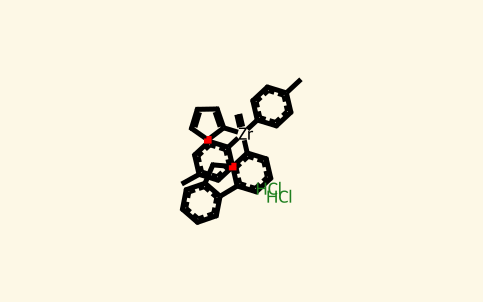 Cl.Cl.[CH2]=[Zr]([C]1=CC=CC1)([c]1ccc(C)cc1)([c]1ccc(C)cc1)[c]1cccc2c1Cc1ccccc1-2